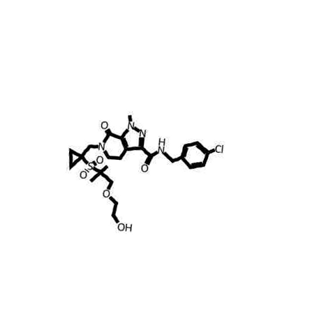 Cn1nc(C(=O)NCc2ccc(Cl)cc2)c2c1C(=O)N(CC1(S(=O)(=O)C(C)(C)COCCO)CC1)CC2